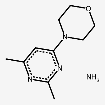 Cc1cc(N2CCOCC2)nc(C)n1.N